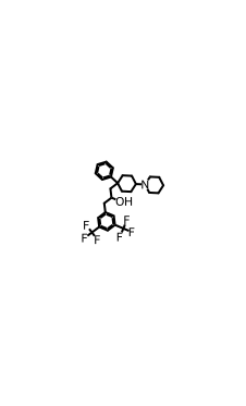 OC(Cc1cc(C(F)(F)F)cc(C(F)(F)F)c1)CC1(c2ccccc2)CCC(N2CCCCC2)CC1